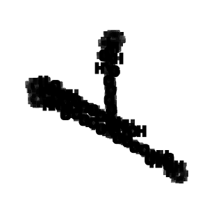 O=C(O)CCNc1nc(N(CCOCCOCCOCCOCCC(=O)NCCNC(=O)OCC2C3CCC#CCCC32)CCOCCOCCOCCOCCC(=O)NCCNC(=O)OCC2[C@H]3CCC#CCC[C@@H]23)nc(N(CCOCCOCCOCCOCCC(=O)NCCNC(=O)OCC2[C@H]3CCC#CCC[C@@H]23)CCOCCOCCOCCOCCC(=O)NCCNC(=O)OCC2[C@H]3CCC#CCC[C@@H]23)n1